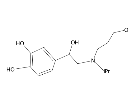 CC(C)N(CCC[O])CC(O)c1ccc(O)c(O)c1